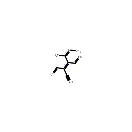 C#C/C(C=C)=C(C=C)/C(C)=N\C